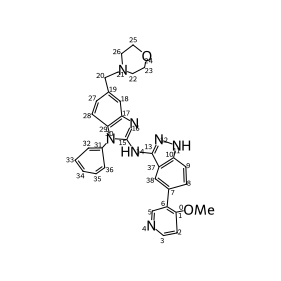 COc1ccncc1-c1ccc2[nH]nc(Nc3nc4cc(CN5CCOCC5)ccc4n3-c3ccccc3)c2c1